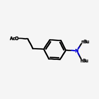 CCCCN(CCCC)c1ccc(CCOC(C)=O)cc1